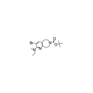 CCN(C)c1nc2c(cc1Br)CCN(C(=O)OC(C)(C)C)CC2